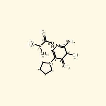 C=C1C(N2CCCC2)=CN=C(N)C1O.CN(C)C(=O)O